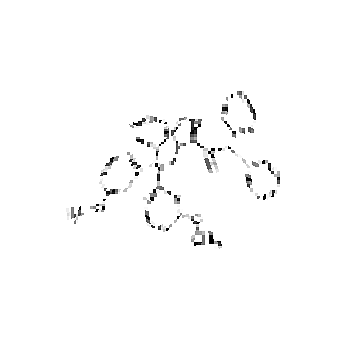 COc1cccc([Si](Cn2ccnc2BC(c2ccccc2)c2ccccc2)(c2ccccc2)c2cccc(OC)c2)c1